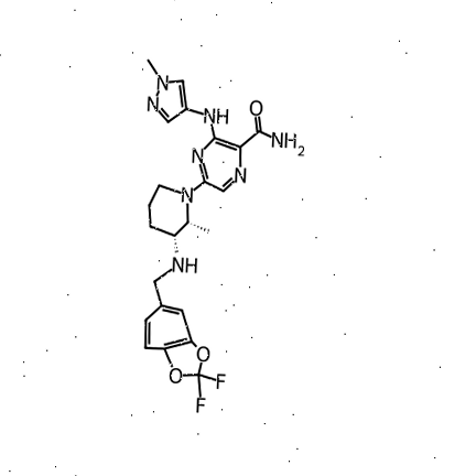 C[C@@H]1[C@H](NCc2ccc3c(c2)OC(F)(F)O3)CCCN1c1cnc(C(N)=O)c(Nc2cnn(C)c2)n1